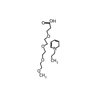 CCCN1C=CC=CC1.COCCOCCOCCOCCC(=O)O